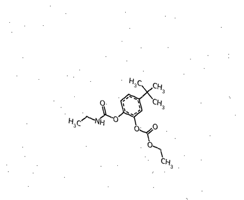 CCNC(=O)Oc1ccc(C(C)(C)C)cc1OC(=O)OCC